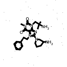 Cn1c(=O)c2c(nc(N3CCCC(N)C3)n2CCc2ccccc2)n(CC(C)(C)N)c1=O